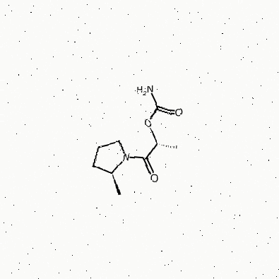 C[C@@H](OC(N)=O)C(=O)N1CCC[C@@H]1C